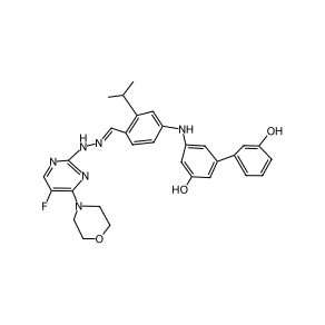 CC(C)c1cc(Nc2cc(O)cc(-c3cccc(O)c3)c2)ccc1/C=N/Nc1ncc(F)c(N2CCOCC2)n1